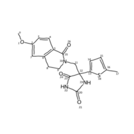 COc1ccc2c(c1)CCN(CC1(c3ccc(C)s3)NC(=O)NC1=O)C2=O